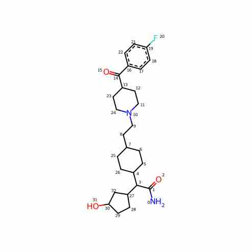 NC(=O)C(C1CCC(CCN2CCC(C(=O)c3ccc(F)cc3)CC2)CC1)C1CCC(O)C1